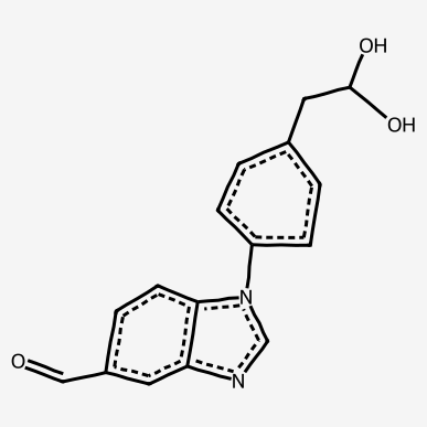 O=Cc1ccc2c(c1)ncn2-c1ccc(CC(O)O)cc1